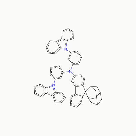 c1cc(N(c2cccc(-n3c4ccccc4c4ccccc43)c2)c2ccc3c(c2)-c2ccccc2C32C3CC4CC(C3)CC2C4)cc(-n2c3ccccc3c3ccccc32)c1